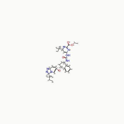 CCOC(=O)c1nc(NC(=O)N[C@H]2CC[C@@H](Oc3ccc4nnc(C(C)(C)CC)n4c3)c3ccccc32)cc(C(C)(C)C)n1